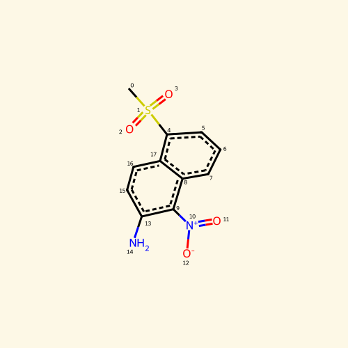 CS(=O)(=O)c1cccc2c([N+](=O)[O-])c(N)ccc12